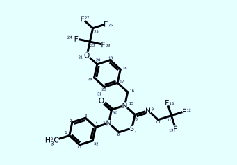 Cc1ccc(N2CSC(=NCC(F)(F)F)N(Cc3ccc(OC(F)(F)C(F)F)cc3)C2=O)cc1